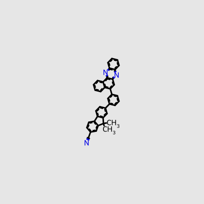 CC1(C)c2cc(C#N)ccc2-c2ccc(-c3cccc(-c4cc5nc6ccccc6nc5c5ccccc45)c3)cc21